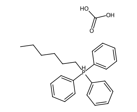 CCCCCC[PH](c1ccccc1)(c1ccccc1)c1ccccc1.O=C(O)O